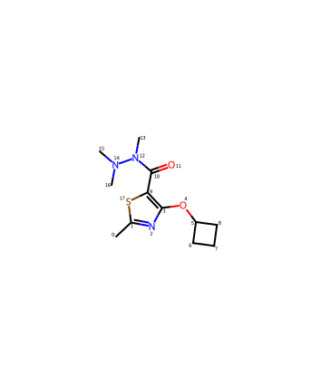 Cc1nc(OC2CCC2)c(C(=O)N(C)N(C)C)s1